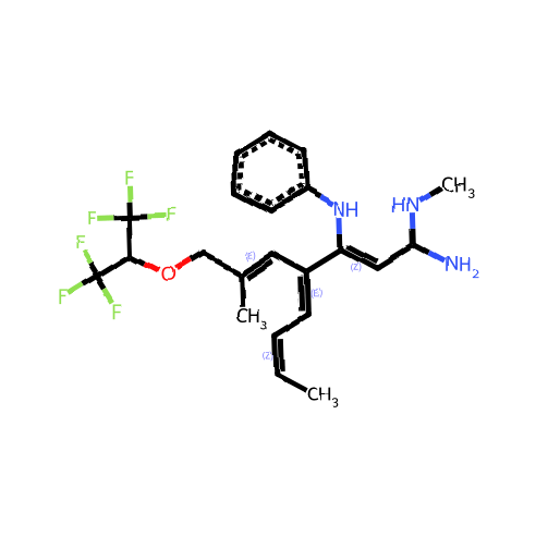 C\C=C/C=C(\C=C(/C)COC(C(F)(F)F)C(F)(F)F)C(=C/C(N)NC)/Nc1ccccc1